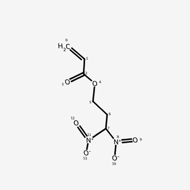 C=CC(=O)OCCC([N+](=O)[O-])[N+](=O)[O-]